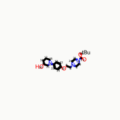 CC(C)(C)OC(=O)N1CCN(CCOc2ccc(N3CCCC(O)C3)cc2)CC1